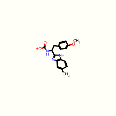 COc1ccc(CC(NC(=O)O)c2nc3cc(C)ccc3[nH]2)cc1